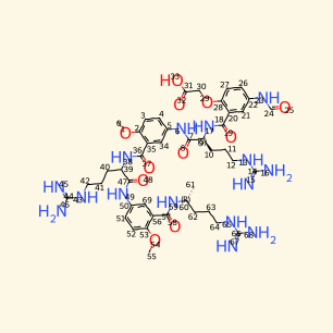 COc1ccc(NC(=O)[C@H](CCCNC(=N)N)NC(=O)c2cc(NC=O)ccc2OCC(=O)O)cc1C(=O)NC(CCCNC(=N)N)C(=O)Nc1ccc(OC)c(C(=O)N[C@H](C)CCCNC(=N)N)c1